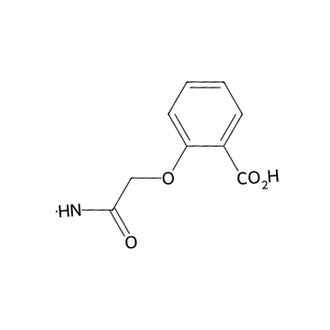 [NH]C(=O)COc1ccccc1C(=O)O